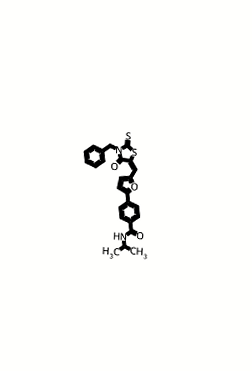 CC(C)NC(=O)c1ccc(-c2ccc(/C=C3/SC(=S)N(Cc4ccccc4)C3=O)o2)cc1